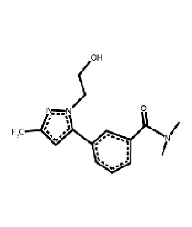 CN(C)C(=O)c1cccc(-c2cc(C(F)(F)F)nn2CCO)c1